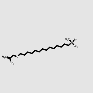 C=C(C)COCCCCCCCCCCCCCC[Si](C)(C)Br